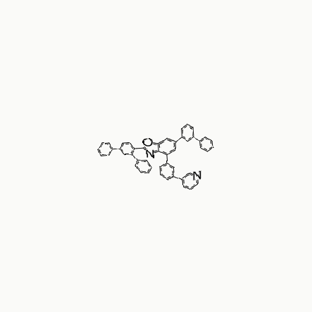 c1ccc(-c2cccc(-c3cc(-c4cccc(-c5cccnc5)c4)c4nc(-c5ccc(-c6ccccc6)cc5-c5ccccc5)oc4c3)c2)cc1